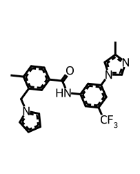 Cc1cn(-c2cc(NC(=O)c3ccc(C)c(Cn4cccc4)c3)cc(C(F)(F)F)c2)cn1